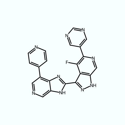 Fc1c(-c2cncnc2)ncc2[nH]nc(-c3nc4c(-c5ccncc5)cncc4[nH]3)c12